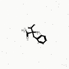 CC(C)C(N)(Cc1ccccc1)C(N)=O